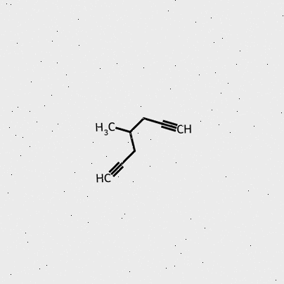 C#CCC(C)CC#C